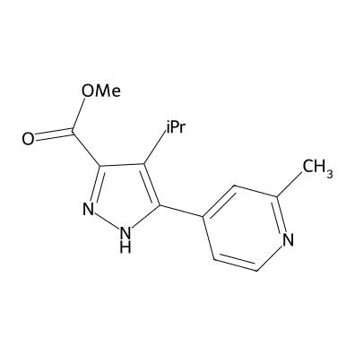 COC(=O)c1n[nH]c(-c2ccnc(C)c2)c1C(C)C